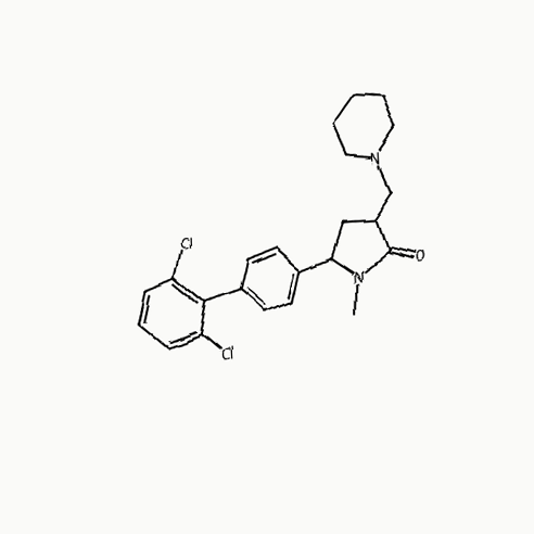 CN1C(=O)C(CN2CCCCC2)CC1c1ccc(-c2c(Cl)cccc2Cl)cc1